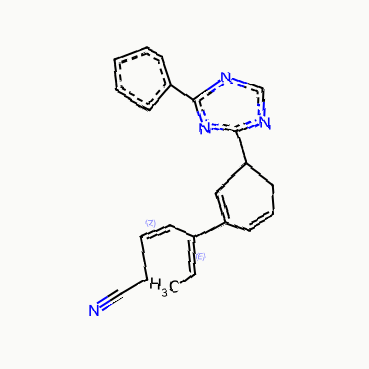 C/C=C(\C=C/CC#N)C1=CC(c2ncnc(-c3ccccc3)n2)CC=C1